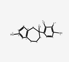 CCC1(c2ccc(O)c(F)c2Cl)CCCc2cc(O)ccc2C1